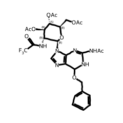 CC(=O)NC1=Nc2c(ncn2[C@@H]2O[C@H](COC(C)=O)[C@@H](OC(C)=O)[C@H](OC(C)=O)[C@H]2NC(=O)C(F)(F)F)C(OCc2ccccc2)N1